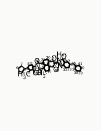 Cc1c(C2=CCC=C2)ccc(N2C(=O)c3ccc4c5c(ccc(c35)C2=O)C(=O)C(c2nc3ccc(Cc5ccccc5)cc3c(=O)[nH]2)C4=O)c1C